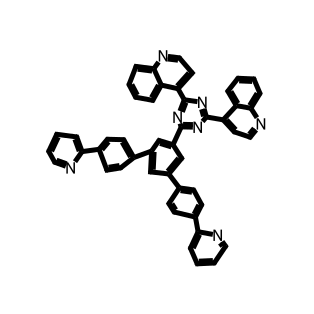 c1ccc(-c2ccc(-c3cc(-c4ccc(-c5ccccn5)cc4)cc(-c4nc(-c5ccnc6ccccc56)nc(-c5ccnc6ccccc56)n4)c3)cc2)nc1